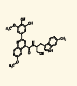 COc1ccc2nc(-c3cc(O)c(O)c(OC)c3)cc(C(=O)NC(CO)Cc3c[nH]c4cc(C)ccc34)c2c1